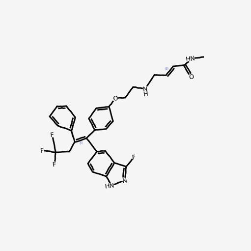 CNC(=O)/C=C/CNCCOc1ccc(/C(=C(/CC(F)(F)F)c2ccccc2)c2ccc3[nH]nc(F)c3c2)cc1